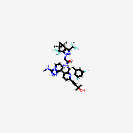 CNc1nnc2c(-c3ccc(C#CC(C)(C)O)nc3[C@H](Cc3cc(F)cc(F)c3)NC(=O)Cn3nc(C(F)F)c4c3C(F)(F)[C@@H]3C[C@H]43)cccn12